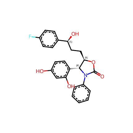 O=C1O[C@H](CC[C@H](O)c2ccc(F)cc2)[C@@H](c2ccc(O)cc2O)N1c1ccccc1